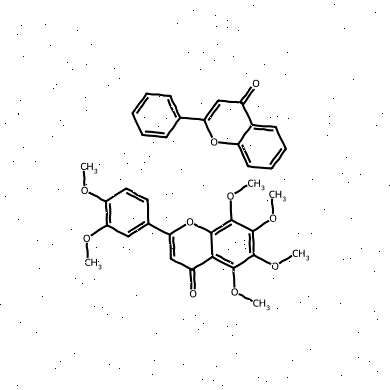 COc1ccc(-c2cc(=O)c3c(OC)c(OC)c(OC)c(OC)c3o2)cc1OC.O=c1cc(-c2ccccc2)oc2ccccc12